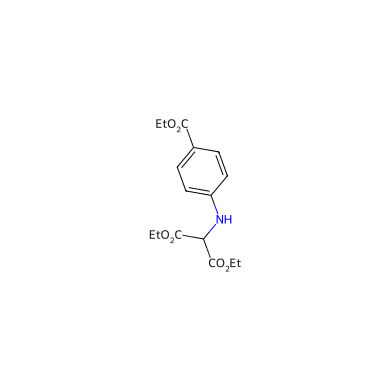 CCOC(=O)c1ccc(NC(C(=O)OCC)C(=O)OCC)cc1